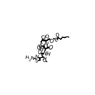 CCCCCC(=O)OCOC(=O)C1=C(Cl)C[S+]([O-])[C@H]2C(NC(=O)C(=NOC)c3csc(N)n3)C(=O)N12